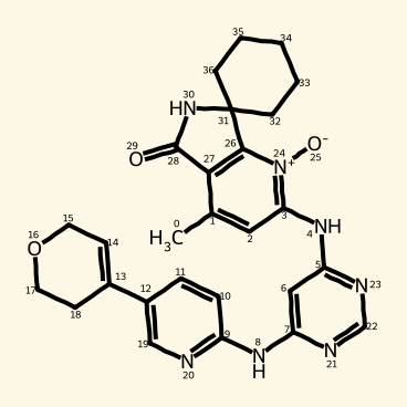 Cc1cc(Nc2cc(Nc3ccc(C4=CCOCC4)cn3)ncn2)[n+]([O-])c2c1C(=O)NC21CCCCC1